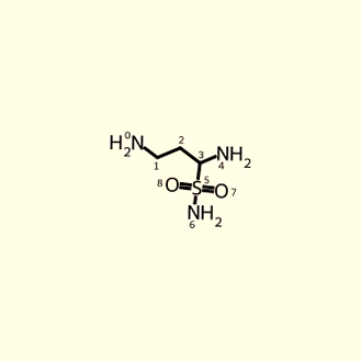 NCCC(N)S(N)(=O)=O